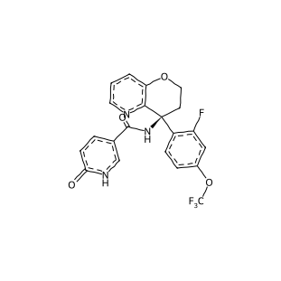 O=C(N[C@]1(c2ccc(OC(F)(F)F)cc2F)CCOc2cccnc21)c1ccc(=O)[nH]c1